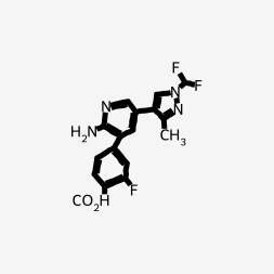 Cc1nn(C(F)F)cc1-c1cnc(N)c(-c2ccc(C(=O)O)c(F)c2)c1